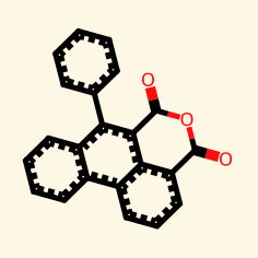 O=C1OC(=O)c2c(-c3ccccc3)c3ccccc3c3cccc1c23